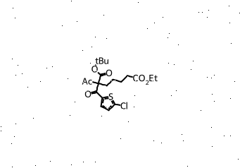 CCOC(=O)CCCCC(C(C)=O)(C(=O)OC(C)(C)C)C(=O)c1ccc(Cl)s1